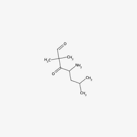 CC(C)CC(N)C(=O)C(C)(C)C=O